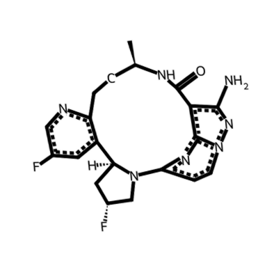 C[C@@H]1CCc2ncc(F)cc2[C@@H]2C[C@@H](F)CN2c2ccn3nc(N)c(c3n2)C(=O)N1